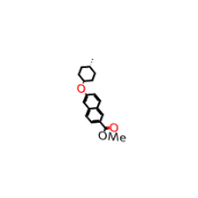 COC(=O)c1ccc2cc(O[C@H]3CC[C@@H](C)CC3)ccc2c1